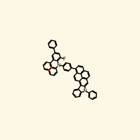 Fc1cc(-c2ccccc2)cc(-c2ccccc2)c1N(c1ccccc1)c1ccc(-c2ccc3ccc4cc5c(c6ccc2c3c46)c2ccccc2n5-c2ccccc2)cc1